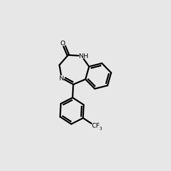 O=C1CN=C(c2cccc(C(F)(F)F)c2)c2ccccc2N1